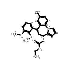 CCOC(=O)C[C@@H]1CC(c2cccc(OC)c2OC)c2cc(Cl)ccc2-n2cccc21